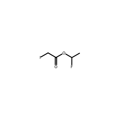 CC(F)OC(=O)CI